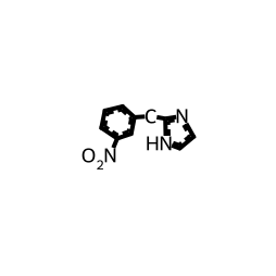 O=[N+]([O-])c1cccc(Cc2ncc[nH]2)c1